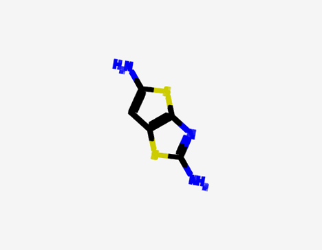 Nc1cc2sc(N)nc2s1